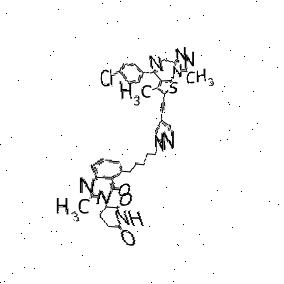 Cc1c(C#Cc2cnn(CCCCCc3cccc4nc(C)n(C5CCC(=O)NC5=O)c(=O)c34)c2)sc2c1C(c1ccc(Cl)cc1)=NCc1nnc(C)n1-2